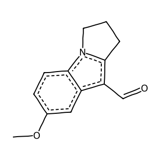 COc1ccc2c(c1)c(C=O)c1n2CCC1